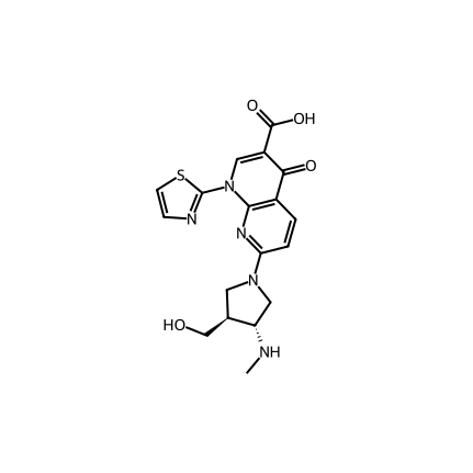 CN[C@H]1CN(c2ccc3c(=O)c(C(=O)O)cn(-c4nccs4)c3n2)C[C@@H]1CO